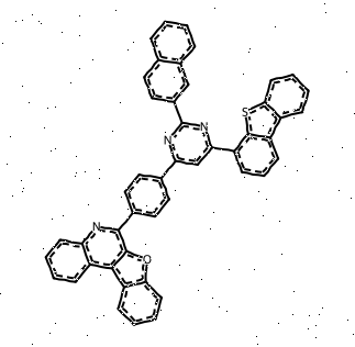 c1ccc2cc(-c3nc(-c4ccc(-c5nc6ccccc6c6c5oc5ccccc56)cc4)cc(-c4cccc5c4sc4ccccc45)n3)ccc2c1